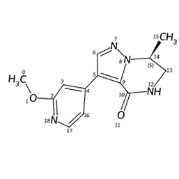 COc1cc(-c2cnn3c2C(=O)NC[C@@H]3C)ccn1